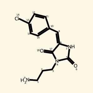 NCCCN1C(=O)NC(=Cc2ccc(Cl)cc2)C1=O